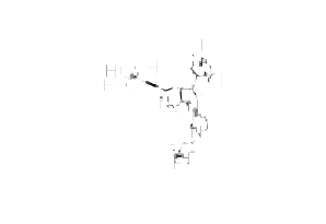 CC(C)(O)C#Cc1cc2c(-c3c[nH]nc3Cl)cn([C@H]3CCN(CCC(F)(F)F)C3)c2cn1